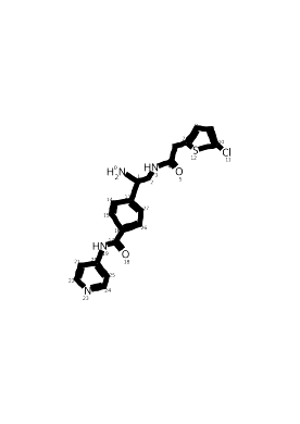 NC(CNC(=O)Cc1ccc(Cl)s1)c1ccc(C(=O)Nc2ccncc2)cc1